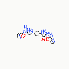 O=C(Cc1ccccn1)Nc1ccc(C2CCC(c3ccc(NC(O)Cc4ccccn4)nn3)CC2)nn1